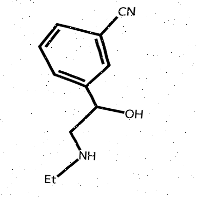 CCNCC(O)c1cccc(C#N)c1